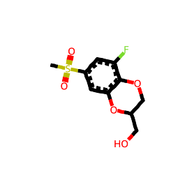 CS(=O)(=O)c1cc(F)c2c(c1)OC(CO)CO2